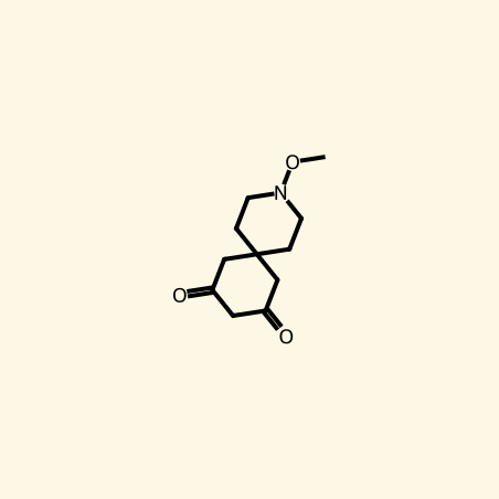 CON1CCC2(CC1)CC(=O)CC(=O)C2